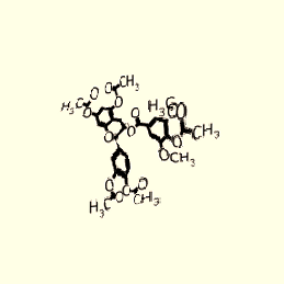 COc1cc(C(=O)O[C@H]2Cc3c(OC(C)=O)cc(OC(C)=O)cc3O[C@@H]2c2ccc(OC(C)=O)c(OC(C)=O)c2)cc(OC)c1OC(C)=O